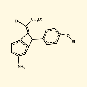 CCOC(=O)C(CC)=C1c2ccc(N)cc2C1c1ccc(OCC)cc1